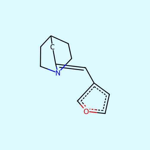 C(=C1CC2CCN1CC2)c1ccoc1